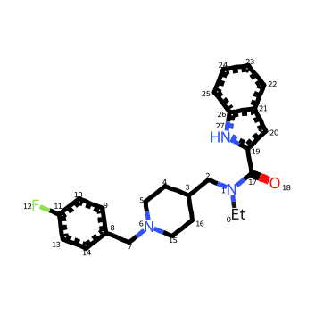 CCN(CC1CCN(Cc2ccc(F)cc2)CC1)C(=O)c1cc2ccccc2[nH]1